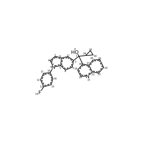 OC(c1ccc2c(ccn2-c2ccc(F)cc2)c1)(c1ccnc2ccccc12)C1CC1